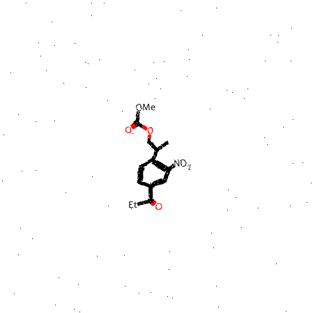 CCC(=O)c1ccc(C(C)COC(=O)OC)c([N+](=O)[O-])c1